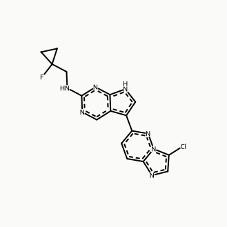 FC1(CNc2ncc3c(-c4ccc5ncc(Cl)n5n4)c[nH]c3n2)CC1